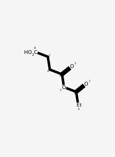 CCC(=O)OC(=O)CCC(=O)O